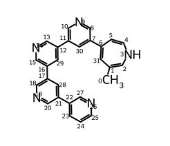 CC1=CNC=CC(c2cncc(-c3cncc(-c4cncc(-c5cccnc5)c4)c3)c2)=C1